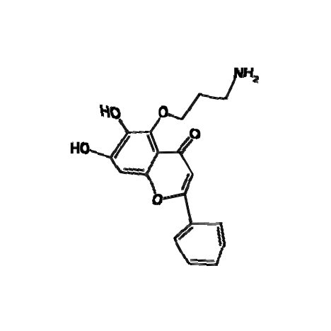 NCCCOc1c(O)c(O)cc2oc(-c3ccccc3)cc(=O)c12